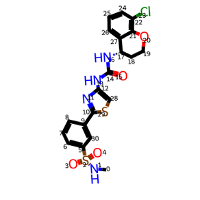 CNS(=O)(=O)c1cccc(-c2nc(NC(=O)N[C@H]3CCOc4c(Cl)cccc43)cs2)c1